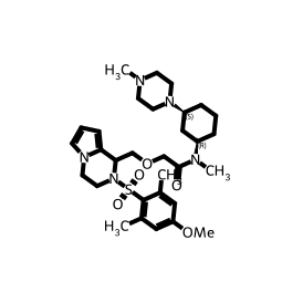 COc1cc(C)c(S(=O)(=O)N2CCn3cccc3C2COCC(=O)N(C)[C@@H]2CCC[C@H](N3CCN(C)CC3)C2)c(C)c1